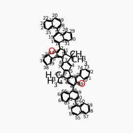 CC1(C)c2cc3c(cc2-c2c1cc(-c1ccc(-c4cccc5ccccc45)c4ccccc14)c1oc4ccccc4c21)C(C)(C)c1cc(-c2ccc(-c4cccc5ccccc45)c4ccccc24)c2oc4ccccc4c2c1-3